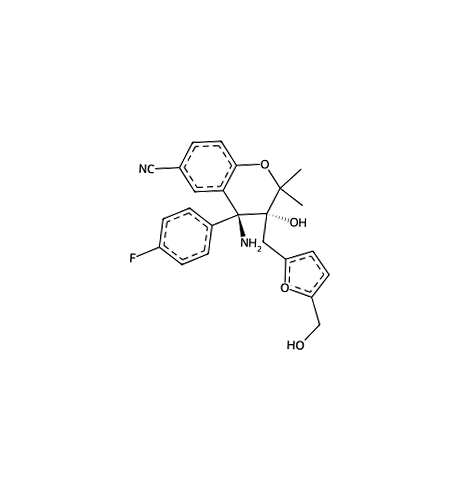 CC1(C)Oc2ccc(C#N)cc2[C@@](N)(c2ccc(F)cc2)[C@]1(O)Cc1ccc(CO)o1